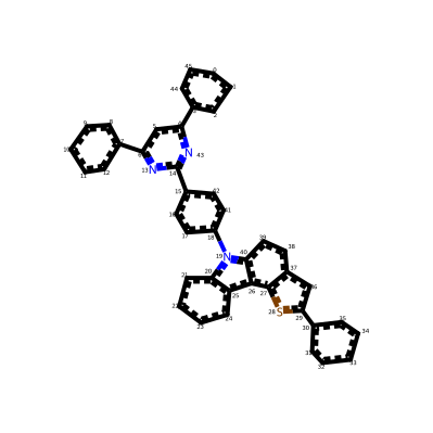 c1ccc(-c2cc(-c3ccccc3)nc(-c3ccc(-n4c5ccccc5c5c6sc(-c7ccccc7)cc6ccc54)cc3)n2)cc1